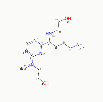 CCCCN(CCO)c1ncnc(C(CCCN)NCCO)n1